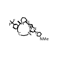 C=C1c2cc(C(C)(F)F)ccc2CCCCCN(C)c2cc(N3CC[C@H](NC)C3)nc3cc(nn23)[C@@H]2CCCCN12